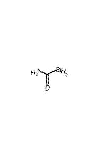 N[C](=O)[BiH2]